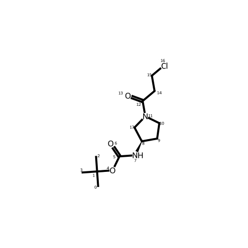 CC(C)(C)OC(=O)N[C@@H]1CCN(C(=O)CCCl)C1